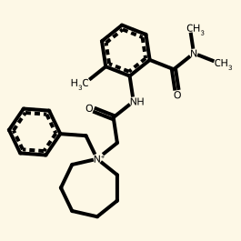 Cc1cccc(C(=O)N(C)C)c1NC(=O)C[N+]1(Cc2ccccc2)CCCCCC1